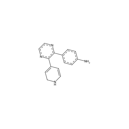 Nc1ccc(-c2nccnc2C2=CCNC=C2)cc1